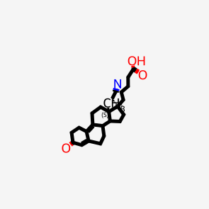 C[C@]12CCC3=C4CCC(=O)C=C4CCC3C1CC[C@]2(CC#N)CCCCC(=O)O